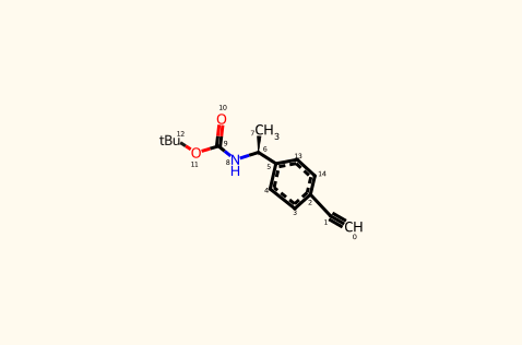 C#Cc1ccc([C@H](C)NC(=O)OC(C)(C)C)cc1